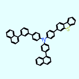 c1cc(-c2ccc(N(c3ccc(-c4ccc5c(c4)sc4ccccc45)cc3)c3ccc(-c4cccc5ccccc45)cc3)cc2)cc(-c2cccc3ccccc23)c1